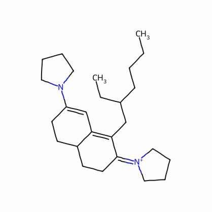 CCCCC(CC)CC1=C2C=C(N3CCCC3)CCC2CCC1=[N+]1CCCC1